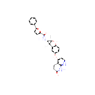 O=C1CCc2c(Oc3ccc4c(c3)[C@H]3[C@H](NC(=O)c5ccc(-c6ccccc6)o5)[C@H]3O4)ccnc2N1